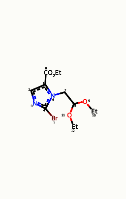 CCOC(=O)c1cnc(Br)n1CC(OCC)OCC